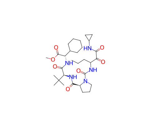 CCCC(NC(=O)N1CCC[C@H]1C(=O)N[C@H](C(=O)N[C@H](C(=O)OC)C1CCCCC1)C(C)(C)C)C(=O)C(=O)NC1CC1